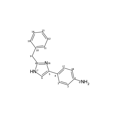 Nc1ccc(-c2c[nH]c(Cc3ccccc3)n2)cc1